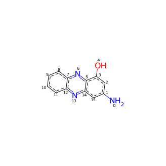 Nc1cc(O)c2nc3ccccc3nc2c1